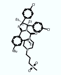 CCOc1cc(C(C)(C)C)ccc1C1=N[C@@](CC)(c2ccc(Cl)cc2)[C@@](CC)(c2ccc(Cl)cc2)N1C(=O)N1CCN(CCCS(C)(=O)=O)CC1